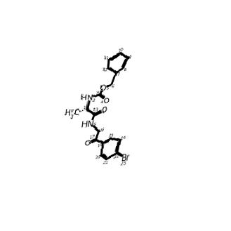 C[C@H](NC(=O)OCC1C=CC=CC1)C(=O)NCC(=O)c1ccc(Br)cc1